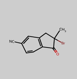 CC1(Br)Cc2cc(C#N)ccc2C1=O